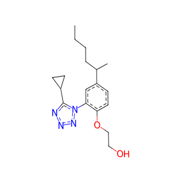 CCCCC(C)c1ccc(OCCO)c(-n2nnnc2C2CC2)c1